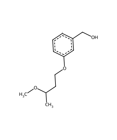 COC(C)CCOc1cc[c]c(CO)c1